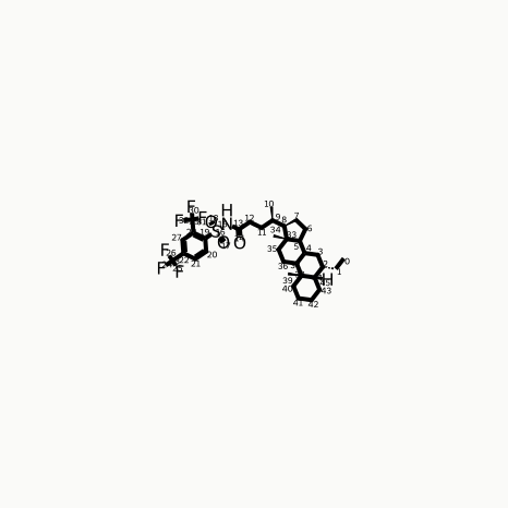 CC[C@H]1CC2C3CC[C@H]([C@H](C)CCC(=O)NS(=O)(=O)c4ccc(C(F)(F)F)cc4C(F)(F)F)[C@@]3(C)CCC2[C@@]2(C)CCCC[C@@H]12